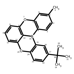 Cc1ccc2c(c1)Oc1cccc3c1B2c1cc(C(C)(C)C)ccc1O3